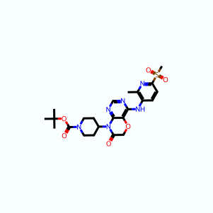 Cc1nc(S(C)(=O)=O)ccc1Nc1ncnc2c1OCC(=O)N2C1CCN(C(=O)OC(C)(C)C)CC1